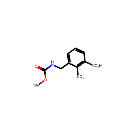 CC(C)(C)OC(=O)NCc1cccc(C(=O)O)c1[N+](=O)[O-]